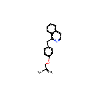 C=C(C)COc1ccc(Cc2nccc3ccccc23)cc1